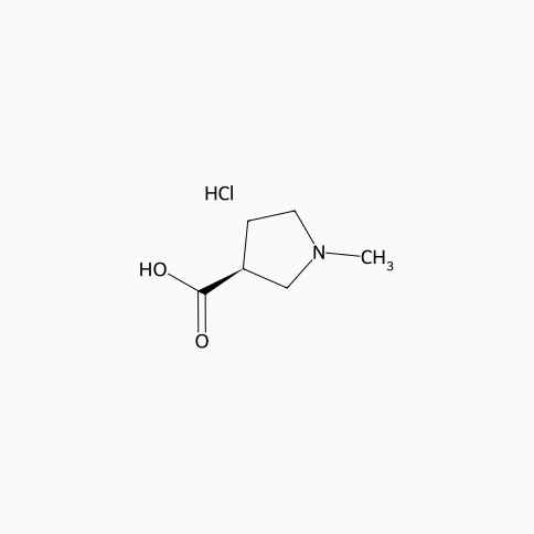 CN1CC[C@H](C(=O)O)C1.Cl